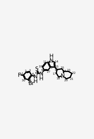 Fc1ccc(NC(=S)Nc2ccc3[nH]cc(C4CCN5CCCCC5C4)c3c2)c(Br)c1